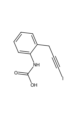 O=C(O)Nc1ccccc1CC#CI